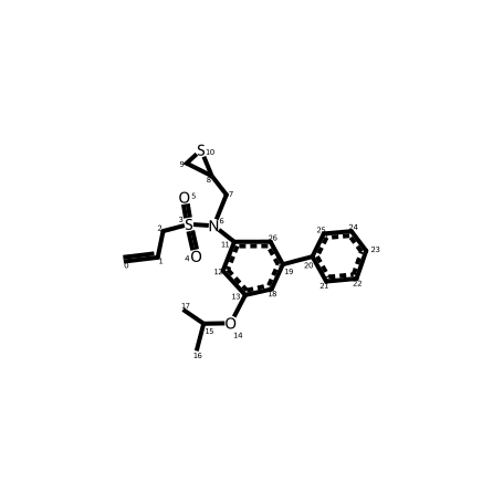 C=CCS(=O)(=O)N(CC1CS1)c1cc(OC(C)C)cc(-c2ccccc2)c1